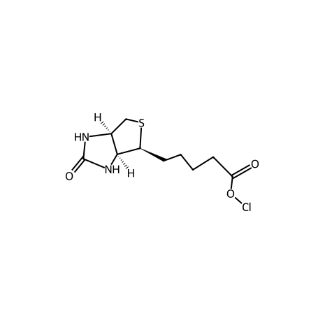 O=C1N[C@H]2[C@H](CS[C@H]2CCCCC(=O)OCl)N1